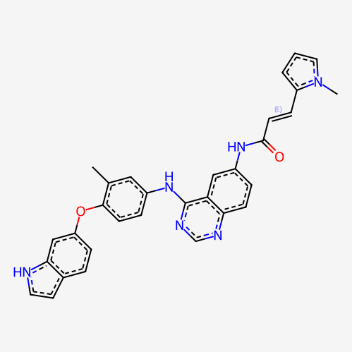 Cc1cc(Nc2ncnc3ccc(NC(=O)/C=C/c4cccn4C)cc23)ccc1Oc1ccc2cc[nH]c2c1